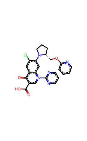 O=C(O)c1cn(-c2ncccn2)c2cc(N3CCC[C@@H]3COc3ccccn3)c(Cl)cc2c1=O